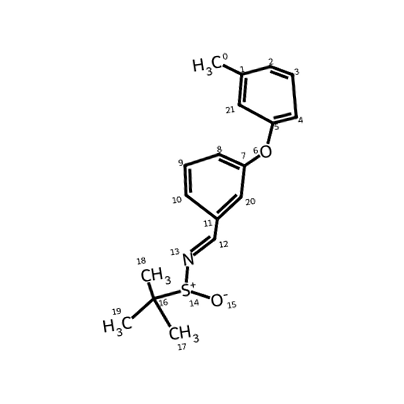 Cc1cccc(Oc2cccc(/C=N/[S+]([O-])C(C)(C)C)c2)c1